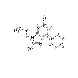 CSCn1c(Br)nc2c(N3CCOCC3)nc(Cl)nc21